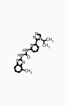 Cc1cccc2sc(NC(=O)Nc3cccc(-c4nncn4C(C)C)n3)nc12